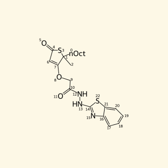 CCCCCCCCC1(C)SC(=O)C=C1OCC(=O)NNc1nc2ccccc2s1